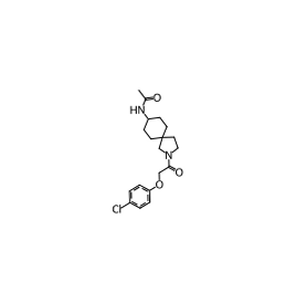 CC(=O)NC1CCC2(CC1)CCN(C(=O)COc1ccc(Cl)cc1)C2